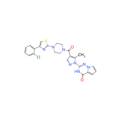 Cc1c(C(=O)N2CCN(c3nc(-c4ccccc4Cl)cs3)CC2)cnn1-c1nn2cccc2c(=O)[nH]1